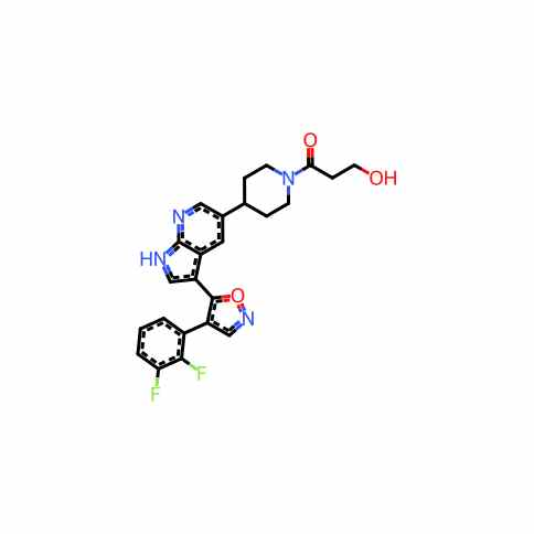 O=C(CCO)N1CCC(c2cnc3[nH]cc(-c4oncc4-c4cccc(F)c4F)c3c2)CC1